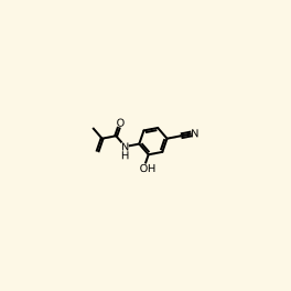 C=C(C)C(=O)Nc1ccc(C#N)cc1O